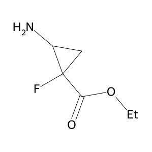 CCOC(=O)C1(F)CC1N